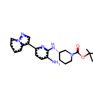 CC(C)(C)OC(=O)N1CCC[C@H](Nc2nc(-c3cnn4ccccc34)ccc2N)C1